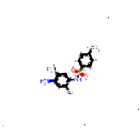 CCc1cc(N)c([N+](=O)[O-])cc1NS(=O)(=O)c1ccc(C)cc1